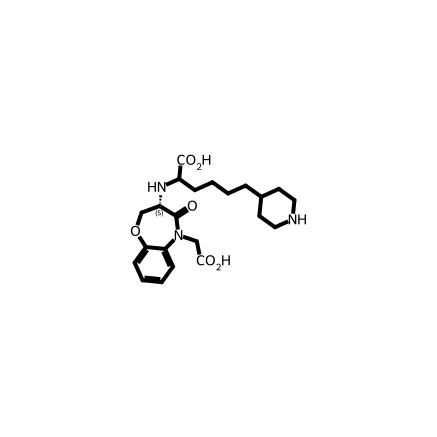 O=C(O)CN1C(=O)[C@@H](NC(CCCCC2CCNCC2)C(=O)O)COc2ccccc21